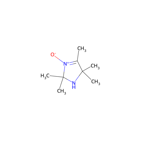 CC1=[N+]([O-])C(C)(C)NC1(C)C